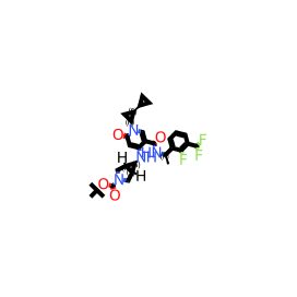 C[C@@H](NC(=O)c1cn([C@@H]2C[C@H]2C2CC2)c(=O)cc1N[C@H]1[C@@H]2CN(C(=O)OC(C)(C)C)C[C@@H]21)c1cccc(C(F)F)c1F